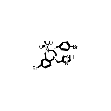 CS(=O)(=O)N1Cc2cc(Br)ccc2N(Cc2c[nH]cn2)C[C@H]1Cc1ccc(Br)cc1